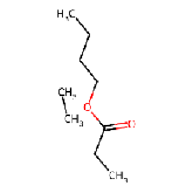 CC.CCCCOC(=O)CC